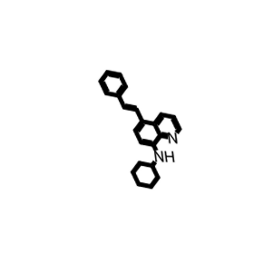 C(=Cc1ccc(NC2CCCCC2)c2ncccc12)c1ccccc1